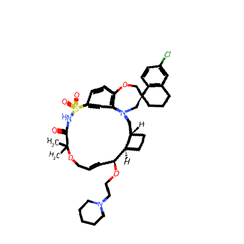 CC1(C)OC/C=C/[C@H](OCCN2CCCCC2)[C@@H]2CC[C@H]2CN2C[C@@]3(CCCc4cc(Cl)ccc43)COc3ccc(cc32)S(=O)(=O)NC1=O